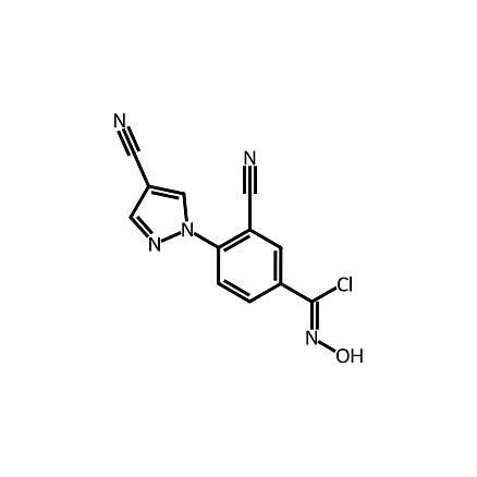 N#Cc1cnn(-c2ccc(C(Cl)=NO)cc2C#N)c1